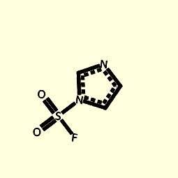 O=S(=O)(F)n1ccnc1